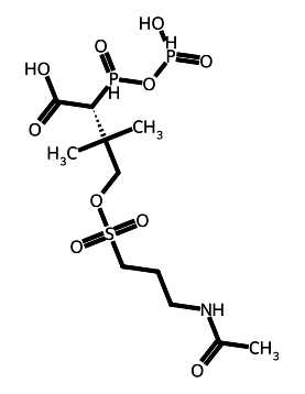 CC(=O)NCCCS(=O)(=O)OCC(C)(C)[C@H](C(=O)O)[PH](=O)O[PH](=O)O